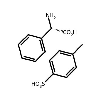 Cc1ccc(S(=O)(=O)O)cc1.N[C@H](C(=O)O)c1ccccc1